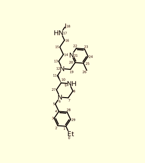 CCc1ccc(CN2CCN[C@H](CN(CCCCNI)Cc3ncccc3C)C2)cc1